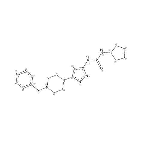 O=C(Nc1nnc(N2CCN(Cc3ccncc3)CC2)s1)NC1CCCC1